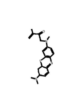 C=C(C)C(=O)CN(C)c1ccc2c(c1)SC1CC(N(C)C)C=CC1=N2